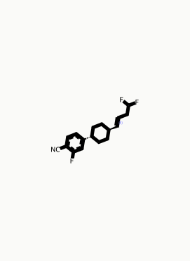 N#Cc1ccc([C@H]2CC[C@H](/C=C/CC(F)F)CC2)cc1F